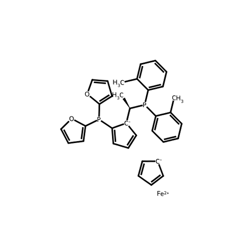 Cc1ccccc1P(c1ccccc1C)[C@H](C)[c-]1cccc1P(c1ccco1)c1ccco1.[Fe+2].c1cc[cH-]c1